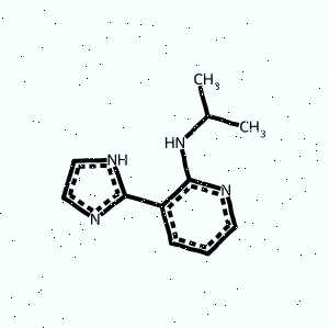 CC(C)Nc1ncccc1-c1ncc[nH]1